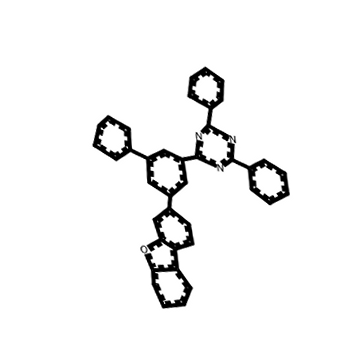 c1ccc(-c2cc(-c3ccc4c(c3)oc3ccccc34)cc(-c3nc(-c4ccccc4)nc(-c4ccccc4)n3)c2)cc1